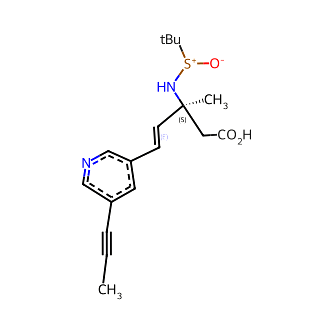 CC#Cc1cncc(/C=C/[C@](C)(CC(=O)O)N[S+]([O-])C(C)(C)C)c1